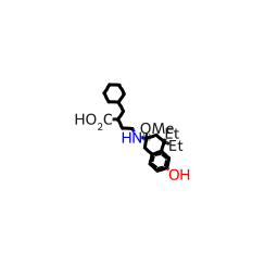 CCC1(CC)C[C@](NCCC(CC2CCCCC2)C(=O)O)(OC)Cc2ccc(O)cc21